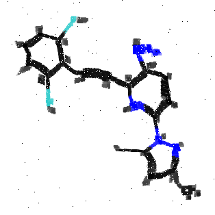 Cc1cc(C(F)(F)F)nn1-c1ccc(N)c(C#Cc2c(F)cccc2F)n1